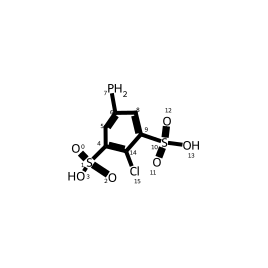 O=S(=O)(O)c1cc(P)cc(S(=O)(=O)O)c1Cl